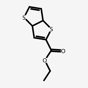 CCOC(=O)C1=CC2SC=CC2S1